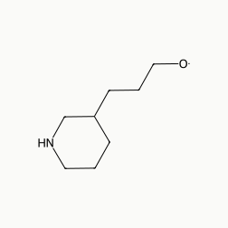 [O]CCCC1CCCNC1